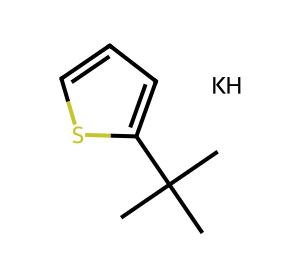 CC(C)(C)c1cccs1.[KH]